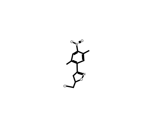 Cc1cc([N+](=O)[O-])c(C)cc1C1=NOC(CCl)C1